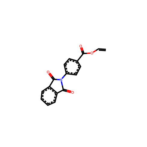 C=COC(=O)c1ccc(N2C(=O)c3ccccc3C2=O)cc1